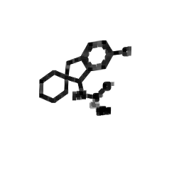 CC(C)(C)[S@@+]([O-])NC1c2cc(Cl)ccc2CC12CCCCC2